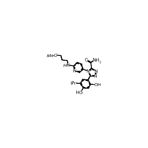 COCCCNc1ccc(-n2c(C(N)=O)nnc2-c2cc(C(C)C)c(O)cc2O)cn1